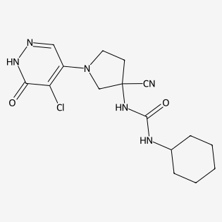 N#CC1(NC(=O)NC2CCCCC2)CCN(c2cn[nH]c(=O)c2Cl)C1